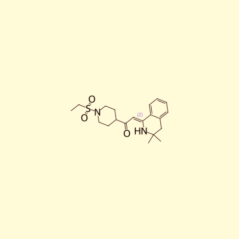 CCS(=O)(=O)N1CCC(C(=O)/C=C2\NC(C)(C)Cc3ccccc32)CC1